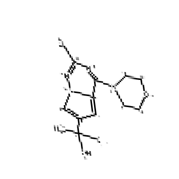 CC(C)(O)c1cc2c(N3CCOCC3)nc(Cl)nn2c1